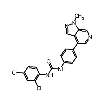 Cn1ncc2c(-c3ccc(NC(=O)Nc4ccc(Cl)cc4Cl)cc3)cncc21